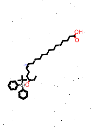 CCC(CC/C=C\CCCCCCCCCCCCC(=O)O)O[Si](c1ccccc1)(c1ccccc1)C(C)(C)C